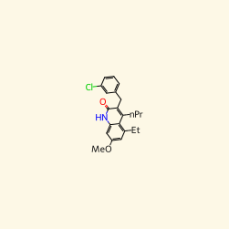 CCCc1c(Cc2cccc(Cl)c2)c(=O)[nH]c2cc(OC)cc(CC)c12